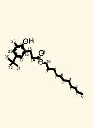 CCCCCCCCCCCOC(=O)CCc1cc(C(C)(C)C)cc(C)c1O